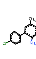 Cc1ccc(N)c(-c2ccc(Cl)cc2)c1